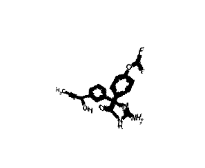 CC#CC(O)c1cccc(C2(c3ccc(OC(F)F)cc3)N=C(N)NC2=O)c1